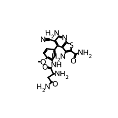 COc1ccc(-c2c(C#N)c(N)nc3sc(C(N)=O)c(N)c23)cc1NC(=O)C(N)CC(N)=O